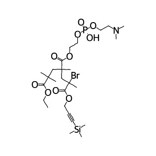 CCOC(=O)C(C)(C)CC(C)(CC(C)(Br)C(=O)OCC#C[Si](C)(C)C)C(=O)OCCOP(=O)(O)OCCN(C)C